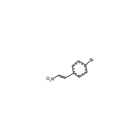 O=[N+]([O-])C=Cc1ccc(Br)cc1